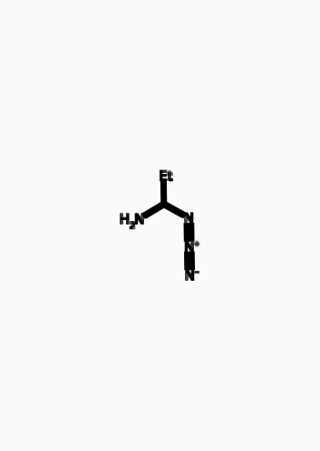 CCC(N)N=[N+]=[N-]